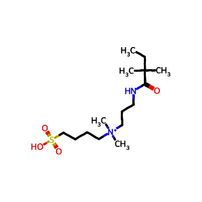 CCC(C)(C)C(=O)NCCC[N+](C)(C)CCCCS(=O)(=O)O